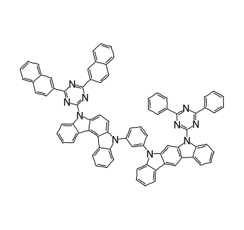 c1ccc(-c2nc(-c3ccccc3)nc(-n3c4ccccc4c4cc5c6ccccc6n(-c6cccc(-n7c8ccccc8c8c9c%10ccccc%10n(-c%10nc(-c%11ccc%12ccccc%12c%11)nc(-c%11ccc%12ccccc%12c%11)n%10)c9ccc87)c6)c5cc43)n2)cc1